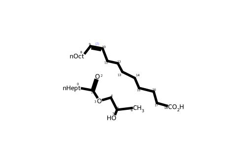 CCCCCCCC(=O)OCC(C)O.CCCCCCCC/C=C\CCCCCCCC(=O)O